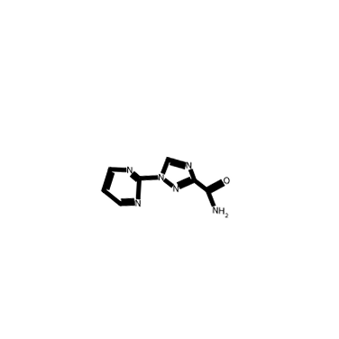 NC(=O)c1ncn(-c2ncccn2)n1